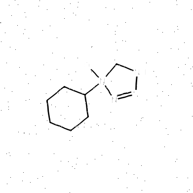 [O-][N+]1(C2CCCCC2)CNN=N1